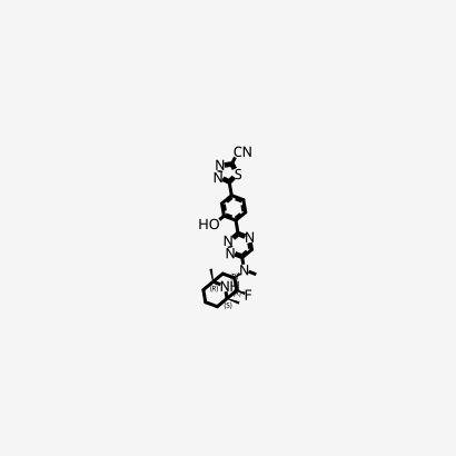 CN(c1cnc(-c2ccc(-c3nnc(C#N)s3)cc2O)nn1)[C@@H]1C[C@@]2(C)CCC[C@](C)(N2)[C@@H]1F